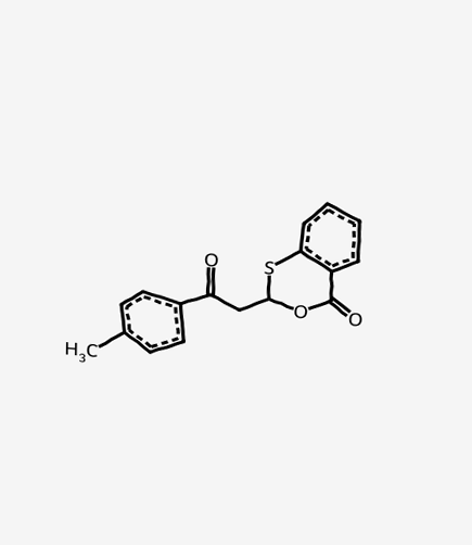 Cc1ccc(C(=O)CC2OC(=O)c3ccccc3S2)cc1